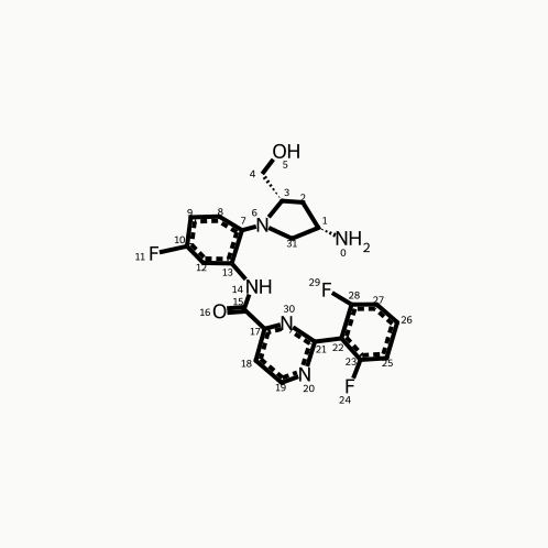 N[C@H]1C[C@@H](CO)N(c2ccc(F)cc2NC(=O)c2ccnc(-c3c(F)cccc3F)n2)C1